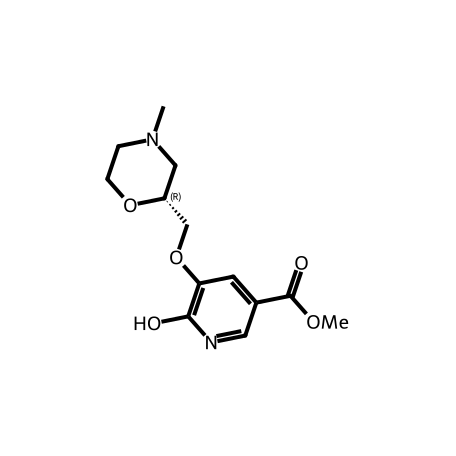 COC(=O)c1cnc(O)c(OC[C@H]2CN(C)CCO2)c1